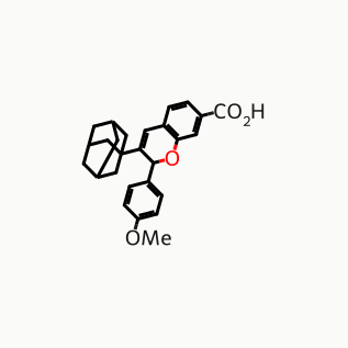 COc1ccc(C2Oc3cc(C(=O)O)ccc3C=C2C23CC4CC(CC(C4)C2)C3)cc1